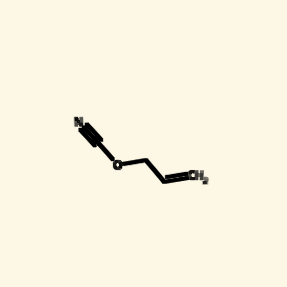 C=CCOC#N